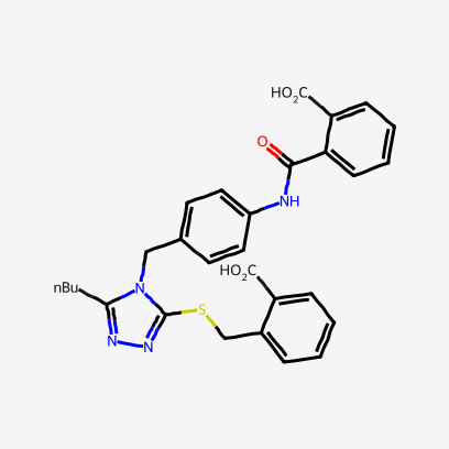 CCCCc1nnc(SCc2ccccc2C(=O)O)n1Cc1ccc(NC(=O)c2ccccc2C(=O)O)cc1